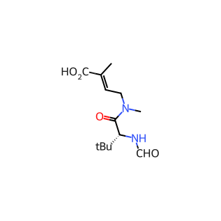 C/C(=C\CN(C)C(=O)[C@H](NC=O)C(C)(C)C)C(=O)O